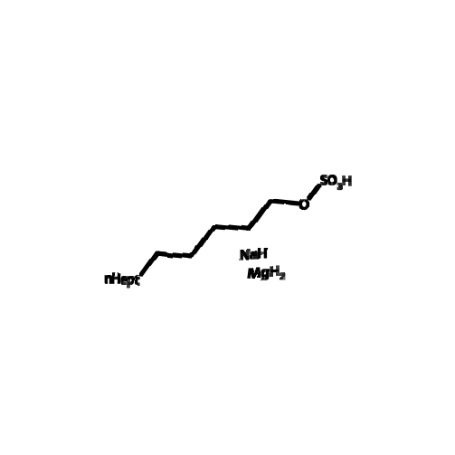 CCCCCCCCCCCCOS(=O)(=O)O.[MgH2].[NaH]